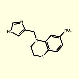 O=[N+]([O-])c1ccc2c(c1)N(Cc1c[nH]cn1)CCS2